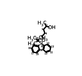 CC(O)CCCO[Si](c1ccccc1)(c1ccccc1)C(C)(C)C